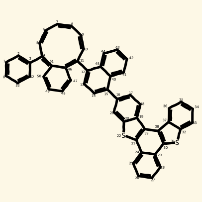 c1ccc(-c2ccccccc(-c3ccc(-c4ccc5c(c4)sc4c6ccccc6c6sc7ccccc7c6c54)c4ccccc34)c3ccccc23)cc1